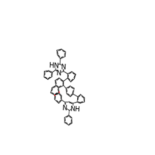 C1=C(c2ccccc2-c2ccc(-c3c(-c4ccccc4C4=NC(c5ccccc5)NC(c5ccccc5)=N4)ccc4ccccc34)cc2)NC(c2ccccc2)N=C1c1ccccc1